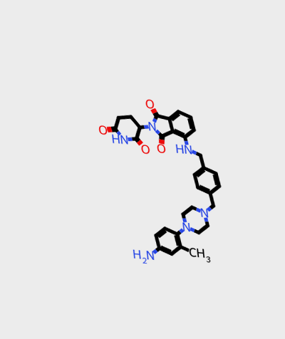 Cc1cc(N)ccc1N1CCN(Cc2ccc(CNc3cccc4c3C(=O)N(C3CCC(=O)NC3=O)C4=O)cc2)CC1